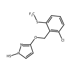 FC(F)(F)Sc1cccc(Cl)c1COc1ccn(S)n1